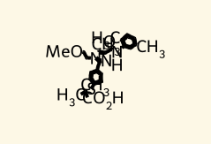 COCCn1c(-c2ccc(SC(C)(C)C(=O)O)cc2)nc(C(=O)Nc2cc(C)ccc2C)c1C